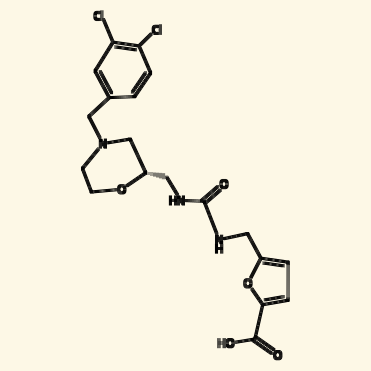 O=C(NCc1ccc(C(=O)O)o1)NC[C@H]1CN(Cc2ccc(Cl)c(Cl)c2)CCO1